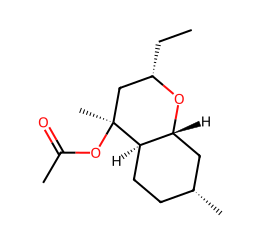 CC[C@H]1C[C@](C)(OC(C)=O)[C@@H]2CC[C@@H](C)C[C@H]2O1